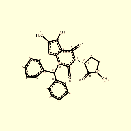 Cc1sc2c(c1C)c(=O)n([C@@H]1CCN(C)C1=O)c(=O)n2C(c1ccccc1)c1ccccc1